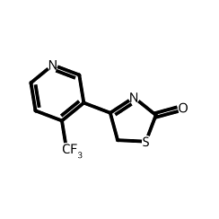 O=C1N=C(c2cnccc2C(F)(F)F)CS1